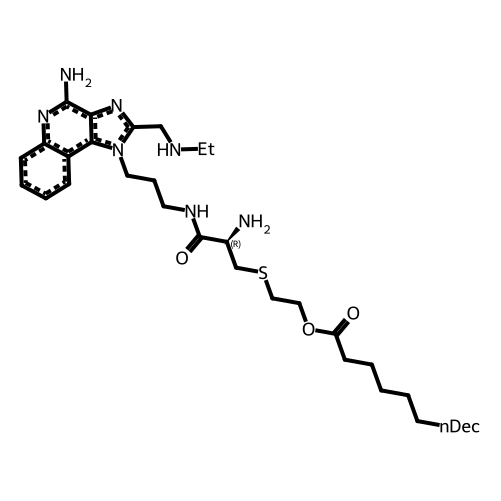 CCCCCCCCCCCCCCCC(=O)OCCSC[C@H](N)C(=O)NCCCn1c(CNCC)nc2c(N)nc3ccccc3c21